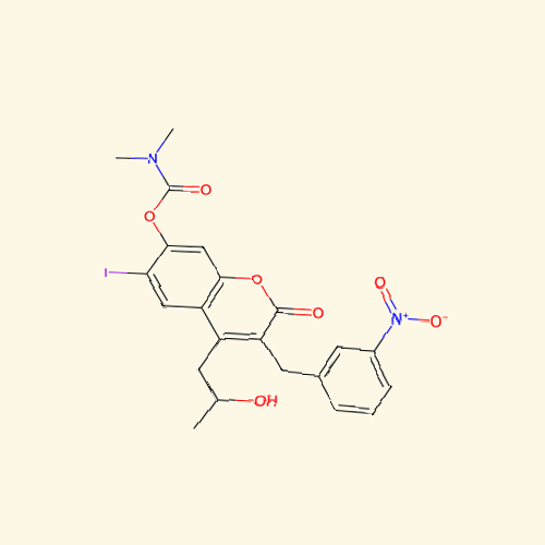 CC(O)Cc1c(Cc2cccc([N+](=O)[O-])c2)c(=O)oc2cc(OC(=O)N(C)C)c(I)cc12